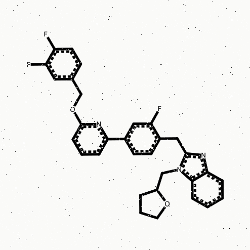 Fc1ccc(COc2cccc(-c3ccc(Cc4nc5ccccc5n4CC4CCCO4)c(F)c3)n2)cc1F